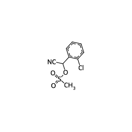 CS(=O)(=O)OC(C#N)c1ccccc1Cl